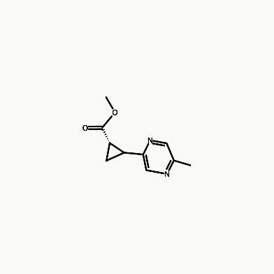 COC(=O)[C@H]1CC1c1cnc(C)cn1